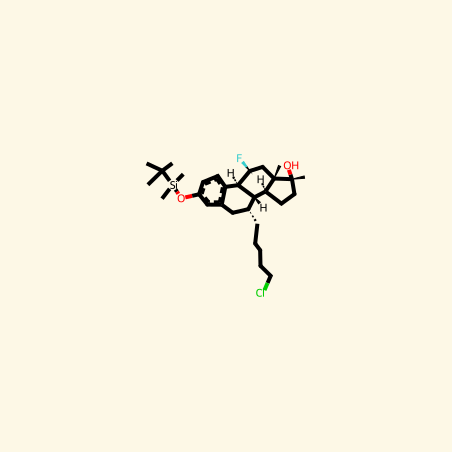 CC(C)(C)[Si](C)(C)Oc1ccc2c(c1)C[C@@H](CCCCCCl)[C@@H]1[C@@H]2[C@@H](F)C[C@@]2(C)[C@H]1CC[C@@]2(C)O